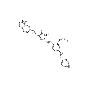 COC1=CC(OCC2=CCNC=C2)CC=C1/C=C/C1C=C(/C=C/c2ccc3cc[nH]c3c2)NN1